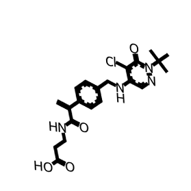 C=C(C(=O)NCCC(=O)O)c1ccc(CNc2cnn(C(C)(C)C)c(=O)c2Cl)cc1